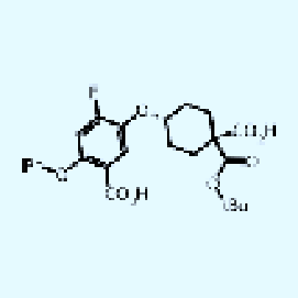 CC(C)Oc1cc(F)c(O[C@H]2CC[C@@](C(=O)O)(C(=O)OC(C)(C)C)CC2)cc1C(=O)O